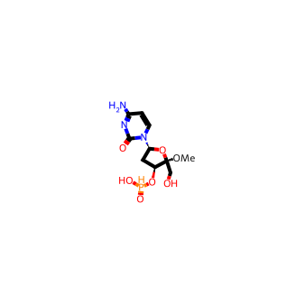 CO[C@]1(CO)O[C@@H](n2ccc(N)nc2=O)C[C@@H]1O[PH](=O)O